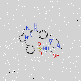 CN1CCN(c2ccc(Nc3ncc4ccc(-c5cccc(S(=O)(=O)NCCO)c5)n4n3)cc2)CC1